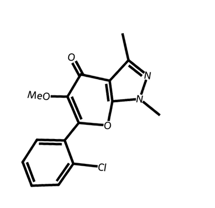 COc1c(-c2ccccc2Cl)oc2c(c(C)nn2C)c1=O